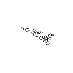 CCc1ccc(CCC(CC#Cc2ccc(S(=O)(=O)N(C(=O)OC(C)(C)C)c3ccccc3)cc2)C(=O)OC)cc1